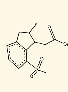 CS(=O)(=O)c1cccc2c1C(CC(=O)O)C(F)C2